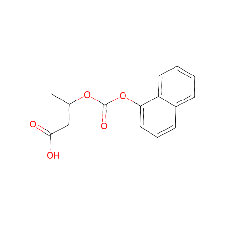 CC(CC(=O)O)OC(=O)Oc1cccc2ccccc12